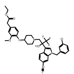 [C-]#[N+]c1ccc2c(C(O)(CN3CCC(Oc4ccc(CC(=O)OCC)cc4OC)CC3)C(F)(F)F)cn(Cc3cccc(Cl)c3)c2c1